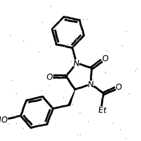 CCC(=O)N1C(=O)N(c2ccccc2)C(=O)[C@@H]1Cc1ccc(O)cc1